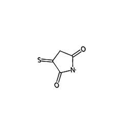 O=C1CC(=S)C(=O)[N]1